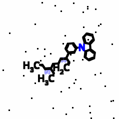 C=C/C(=C\CC/C(=C\CC)CC)c1cccc(-n2c3ccccc3c3ccccc32)c1